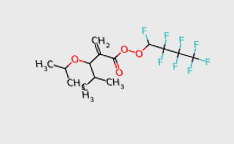 C=C(C(=O)OOC(F)C(F)(F)C(F)(F)C(F)(F)F)C(OC(C)C)C(C)C